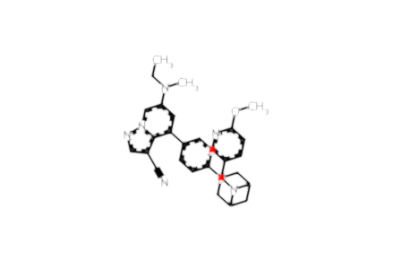 CCN(C)c1cc(-c2ccc(N3CC4CC(C3)N4Cc3ccc(OC)nc3)nc2)c2c(C#N)cnn2c1